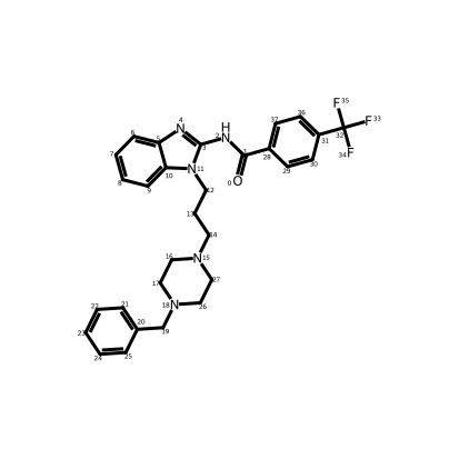 O=C(Nc1nc2ccccc2n1CCCN1CCN(Cc2ccccc2)CC1)c1ccc(C(F)(F)F)cc1